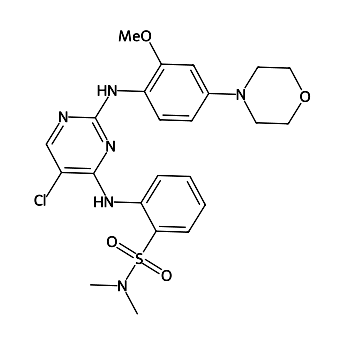 COc1cc(N2CCOCC2)ccc1Nc1ncc(Cl)c(Nc2ccccc2S(=O)(=O)N(C)C)n1